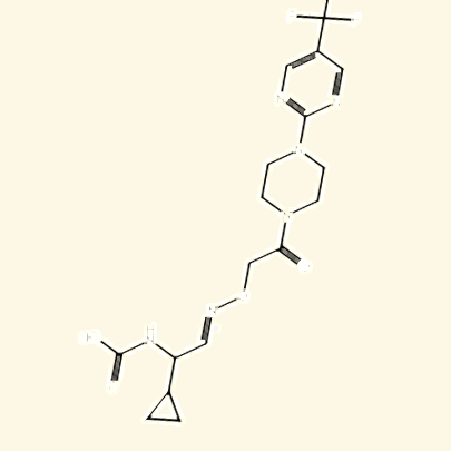 O=C(O)NC(/C=N/OCC(=O)N1CCN(c2ncc(C(F)(F)F)cn2)CC1)C1CC1